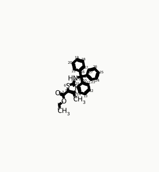 CCOC(=O)c1sc(NC(c2ccccc2)(c2ccccc2)c2ccccc2)nc1C